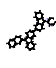 C/C=C\C(=C/C)n1c2ccccc2c2cc(-c3ccc4c(c3)c3ccccc3n4-c3ccc4ccccc4c3)ccc21